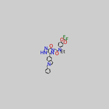 CCN(C(=O)Cn1nc(-c2ccc3c(ccn3Cc3ccccc3)c2)c2[nH]cnc2c1=O)c1ccc2c(c1)OC(F)(F)O2